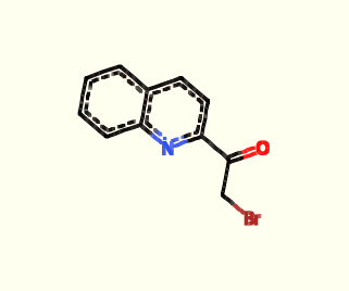 O=C(CBr)c1ccc2ccccc2n1